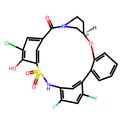 O=C1c2cc(Cl)c(O)c(c2)S(=O)(=O)Nc2cc(c(F)cc2F)-c2ccccc2O[C@@H]2CCN1C2